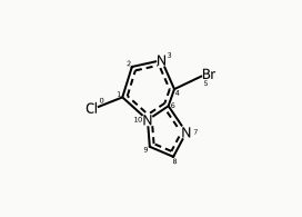 Clc1cnc(Br)c2nccn12